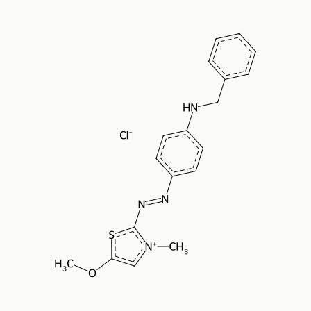 COc1c[n+](C)c(/N=N/c2ccc(NCc3ccccc3)cc2)s1.[Cl-]